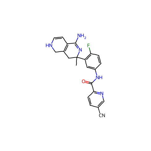 CC1(c2cc(NC(=O)c3ccc(C#N)cn3)ccc2F)CC2=C(C=CNC2)C(N)=N1